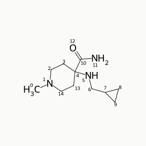 CN1CCC(NCC2CC2)(C(N)=O)CC1